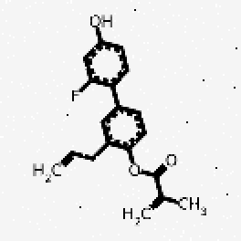 C=CCc1cc(-c2ccc(O)cc2F)ccc1OC(=O)C(=C)C